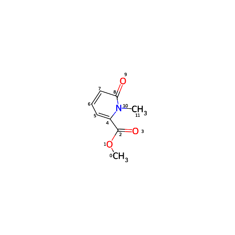 COC(=O)c1cccc(=O)n1C